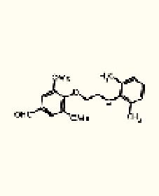 COc1cc(C=O)cc(OC)c1OCCOc1c(C)cccc1C